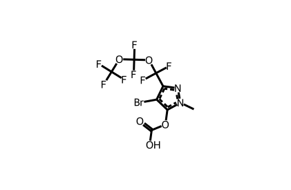 Cn1nc(C(F)(F)OC(F)(F)OC(F)(F)F)c(Br)c1OC(=O)O